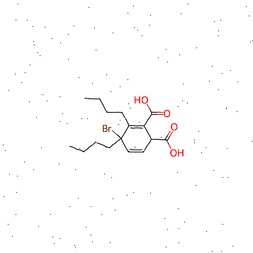 CCCCC1=C(C(=O)O)C(C(=O)O)C=CC1(Br)CCCC